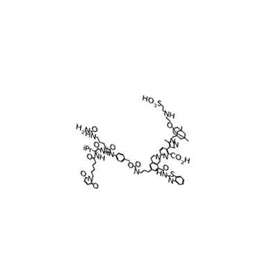 Cc1c(-c2ccc(N3CCc4cc(CCCN(C)C(=O)OCc5ccc(NC(=O)[C@H](CCCNC(N)=O)NC(=O)[C@@H](NC(=O)CCCCCN6C(=O)C=CC6=O)C(C)C)cc5)cc(C(=O)Nc5nc6ccccc6s5)c4C3)nc2C(=O)O)cnn1CC12CC3(C)CC(C)(C1)CC(OCCNCCS(=O)(=O)O)(C3)C2